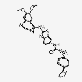 COc1cc2ncnc(Nc3nc4ccc(NC(=O)Nc5ccc(Cl)cc5)cc4s3)c2cc1OC